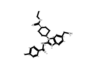 CCOC(=O)[C@H]1CC[C@@H](n2c(NC(=O)c3ccc(C)cc3)nc3ccc(CO)cc32)CC1